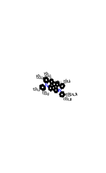 CC(C)(C)c1ccc(N(c2ccc(C(C)(C)C)c(C(C)(C)C)c2)c2ccc3c(c2)C2(c4ccccc4-c4ccccc42)c2cc(N(c4ccc(C(C)(C)C)c(C(C)(C)C)c4)c4ccc(C(C)(C)C)c(C(C)(C)C)c4)ccc2-3)cc1C(C)(C)C